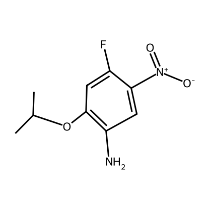 CC(C)Oc1cc(F)c([N+](=O)[O-])cc1N